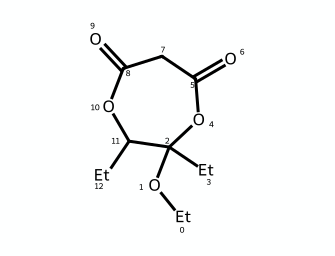 CCOC1(CC)OC(=O)CC(=O)OC1CC